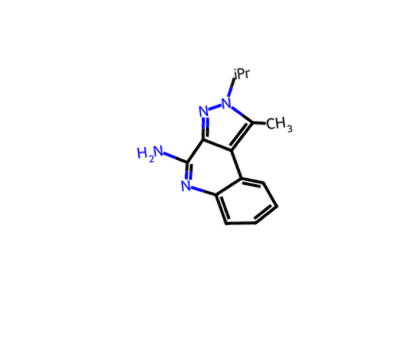 Cc1c2c(nn1C(C)C)c(N)nc1ccccc12